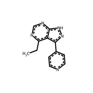 CCc1ncnc2[nH]nc(-c3ccncc3)c12